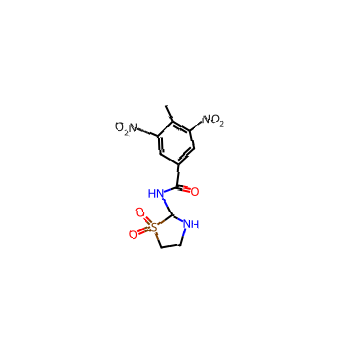 Cc1c([N+](=O)[O-])cc(C(=O)NC2NCCS2(=O)=O)cc1[N+](=O)[O-]